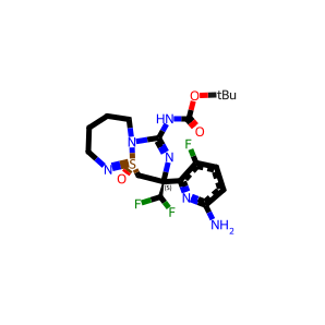 CC(C)(C)OC(=O)NC1=N[C@@](c2nc(N)ccc2F)(C(F)F)CS2(=O)=NCCCCN12